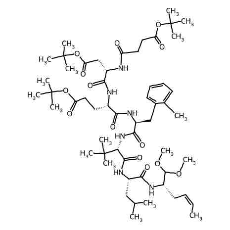 C/C=C\C[C@H](NC(=O)[C@H](CC(C)C)NC(=O)[C@@H](NC(=O)[C@H](Cc1ccccc1C)NC(=O)[C@H](CCC(=O)OC(C)(C)C)NC(=O)[C@H](CC(=O)OC(C)(C)C)NC(=O)CCC(=O)OC(C)(C)C)C(C)(C)C)C(OC)OC